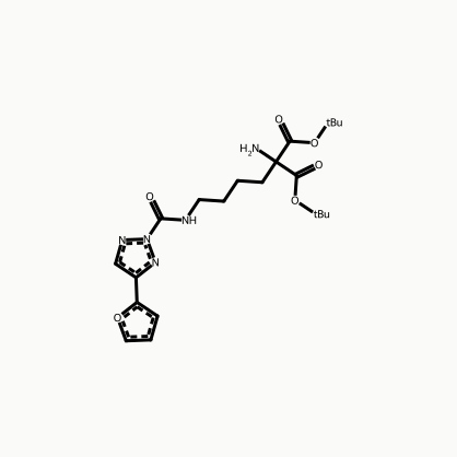 CC(C)(C)OC(=O)C(N)(CCCCNC(=O)n1ncc(-c2ccco2)n1)C(=O)OC(C)(C)C